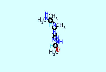 CNc1cc(F)c(CN2CCC(N3Cc4cnc(Nc5cc(F)cc(OC)c5)nc4C3)C[C@H]2C)cc1C